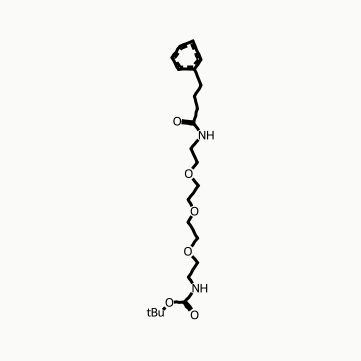 CC(C)(C)OC(=O)NCCOCCOCCOCCNC(=O)CCCc1ccccc1